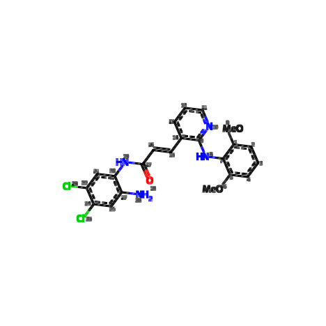 COc1cccc(OC)c1Nc1ncccc1/C=C/C(=O)Nc1cc(Cl)c(Cl)cc1N